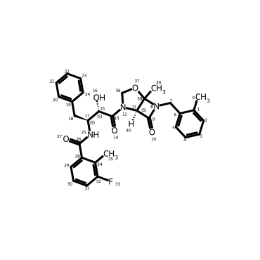 Cc1ccccc1CN1C(=O)[C@H]2N(C(=O)[C@@H](O)[C@H](Cc3ccccc3)NC(=O)c3cccc(F)c3C)COC21C